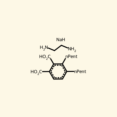 CCCCCc1ccc(C(=O)O)c(C(=O)O)c1CCCCC.NCCN.[NaH]